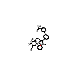 C[C@@H]1C(=O)C(C#N)=C[C@]2(c3ccccc3)c3nn(C)c(-c4cccc(-c5cccc(C(=O)O)c5)c4)c3CC[C@@H]12